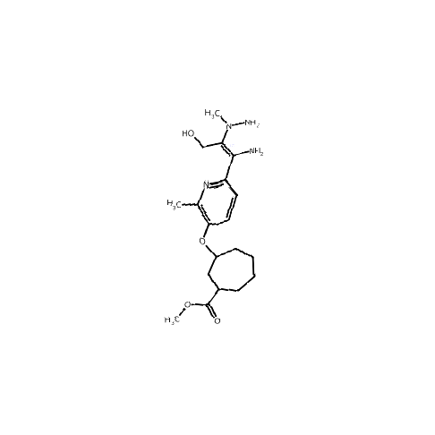 COC(=O)C1CCCCC(Oc2ccc(/C(N)=C(\CO)N(C)N)nc2C)C1